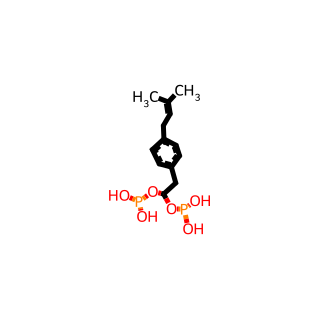 CC(C)=CCc1ccc(CC(OP(O)O)OP(O)O)cc1